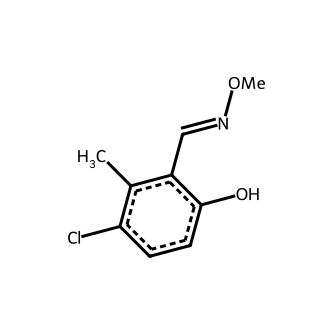 CON=Cc1c(O)ccc(Cl)c1C